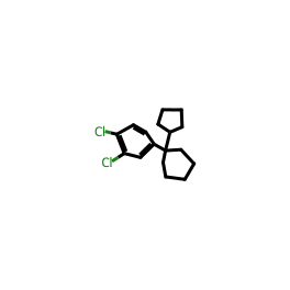 Clc1ccc(C2(C3CCCC3)CCCCC2)cc1Cl